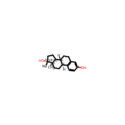 C[C@]12CC[C@@H]3c4ccc(O)cc4CC[C@H]3[C@@H]1CC[C@@]2(O)[Na]